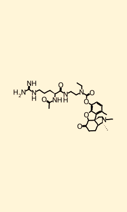 CCN(CCNC(=O)[C@H](CCCNC(=N)N)NC(C)=O)C(=O)Oc1ccc(C)c2c1OC1C(=O)CCC3[C@@H](C)N(C)CC[C@]213